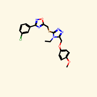 CCn1c(COc2ccc(OC)cc2)nnc1SCc1nc(-c2cccc(Cl)c2)no1